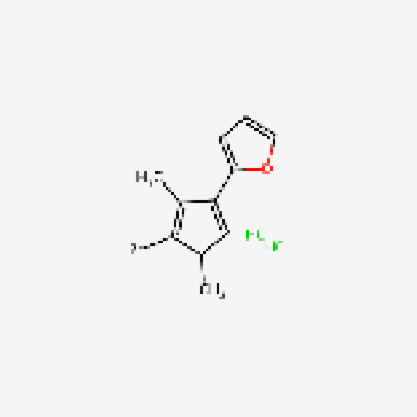 CC1=[C]([Zr])C(C)C=C1c1ccco1.Cl.Cl